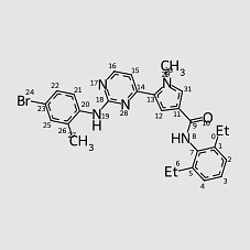 CCc1cccc(CC)c1NC(=O)c1cc(-c2ccnc(Nc3ccc(Br)cc3C)n2)n(C)c1